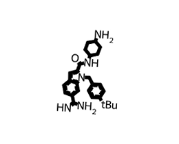 CC(C)(C)c1ccc(Cn2c(C(=O)NC3CCC(N)CC3)cc3ccc(C(=N)N)cc32)cc1